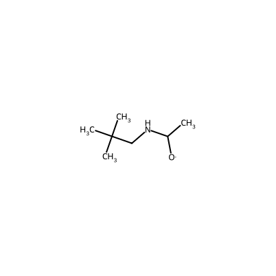 CC([O])NCC(C)(C)C